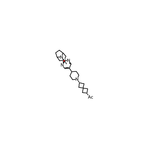 CC(=O)[C@H]1CC2(C1)C[C@H](N1CCC(c3cnc(N4C5CCC4CN(C)C5)nc3)CC1)C2